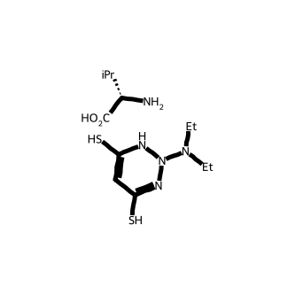 CC(C)[C@H](N)C(=O)O.CCN(CC)N1N=C(S)C=C(S)N1